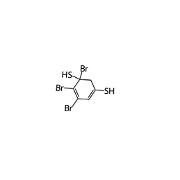 SC1=CC(Br)=C(Br)C(S)(Br)C1